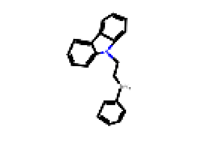 c1ccc([SiH2]CCn2c3ccccc3c3ccccc32)cc1